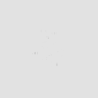 CCN(CC)c1cccc2c1-c1ccccc1[CH]2[Zr+2]([C]1=CC=CC1)=[C](c1ccccc1)c1ccccc1.[Cl-].[Cl-]